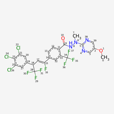 COc1cnc(N(C)NC(=O)c2ccc(C(F)=CC(c3cc(Cl)c(Cl)c(Cl)c3)C(F)(F)F)cc2C(F)(F)F)nc1